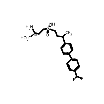 N=S(=O)(CCC(c1ccc(-c2ccc(C(F)F)cc2)cc1)C(F)(F)F)CC[C@H](N)C(=O)O